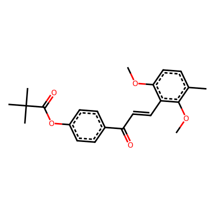 COc1ccc(C)c(OC)c1/C=C/C(=O)c1ccc(OC(=O)C(C)(C)C)cc1